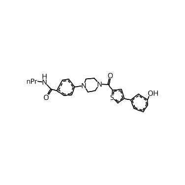 CCCNC(=O)c1ccc(N2CCN(C(=O)c3cc(-c4cccc(O)c4)cs3)CC2)cc1